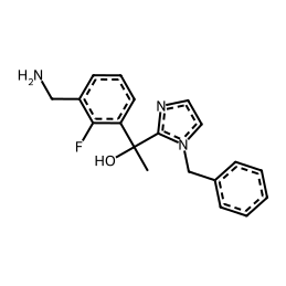 CC(O)(c1cccc(CN)c1F)c1nccn1Cc1ccccc1